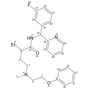 CCC(CCN(C)CCOc1ccccc1)C(=O)NC(c1cccc(F)c1)c1ccccn1